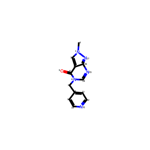 Cn1cc2c(=O)n(Cc3ccncc3)cnc2n1